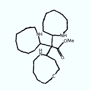 COC(=O)C(C1CCCCCCCN1)(C1CCCCCCCN1)C1CCCCCCCN1